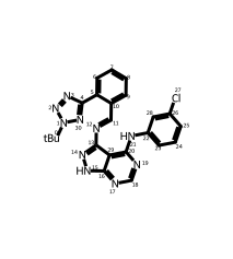 CC(C)(C)n1nnc(-c2ccccc2C=Nc2n[nH]c3ncnc(Nc4cccc(Cl)c4)c23)n1